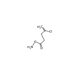 C=C(Cl)CCC(=O)ON